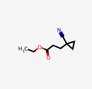 CCOC(=O)CCC1(C#N)CC1